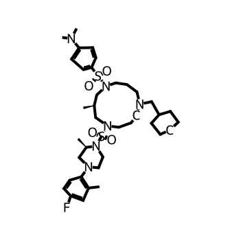 Cc1cc(F)ccc1N1CCN(S(=O)(=O)N2CCCN(CC3CCCCC3)CCCN(S(=O)(=O)c3ccc(N(C)C)cc3)C[C@H](C)C2)[C@H](C)C1